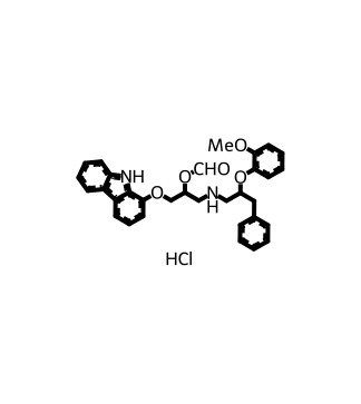 COc1ccccc1OC(CNCC(COc1cccc2c1[nH]c1ccccc12)OC=O)Cc1ccccc1.Cl